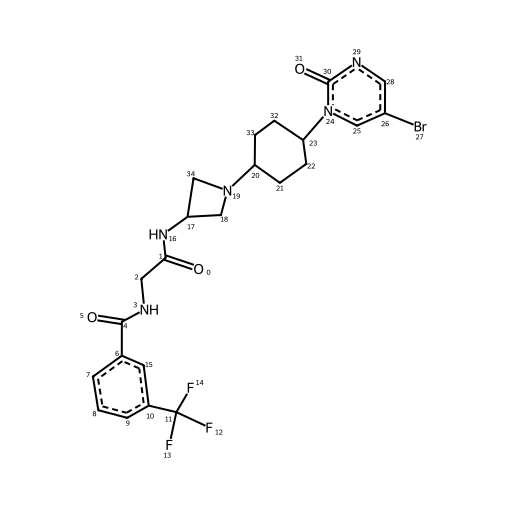 O=C(CNC(=O)c1cccc(C(F)(F)F)c1)NC1CN(C2CCC(n3cc(Br)cnc3=O)CC2)C1